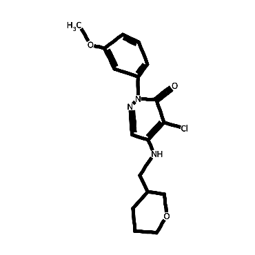 COc1cccc(-n2ncc(NCC3CCCOC3)c(Cl)c2=O)c1